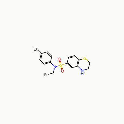 CCc1ccc(N(CC(C)C)S(=O)(=O)c2ccc3c(c2)NCCS3)cc1